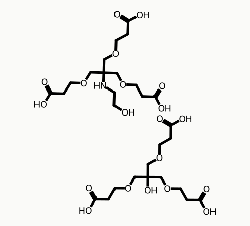 O=C(O)CCOCC(COCCC(=O)O)(COCCC(=O)O)NCCO.O=C(O)CCOCC(O)(COCCC(=O)O)COCCC(=O)O